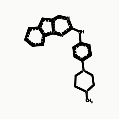 CN1CCN(c2ccc(Nc3ncc4cc5ccccc5n4n3)cc2)CC1